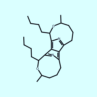 CCCCC1OC(C)CCCC2=C3C4=NC(=C3C1=N2)C(CCCC)OC(C)CCC4